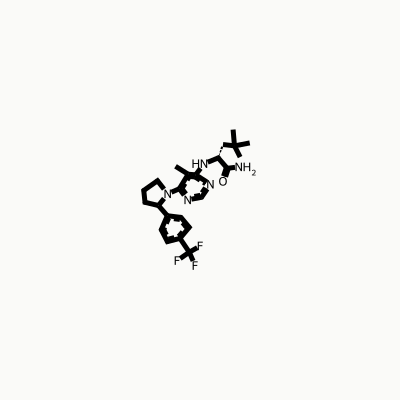 Cc1c(N[C@H](CC(C)(C)C)C(N)=O)ncnc1N1CCCC1c1ccc(C(F)(F)F)cc1